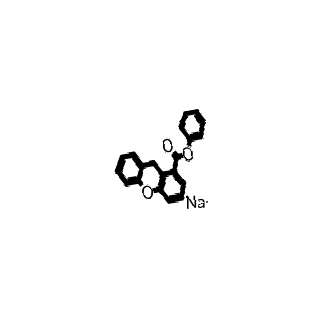 O=C(Oc1ccccc1)c1cccc2c1Cc1ccccc1O2.[Na]